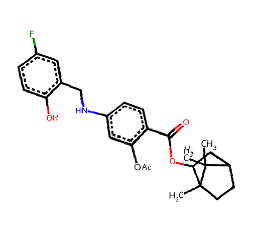 CC(=O)Oc1cc(NCc2cc(F)ccc2O)ccc1C(=O)OC1CC2CCC1(C)C2(C)C